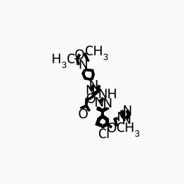 C[C@@H]1CN(C2CCC(n3cc(Nc4ncc(-c5ccc(Cl)c(O[C@@H](C)Cn6cncn6)c5)cn4)c(OCC4COC4)n3)CC2)C[C@H](C)O1